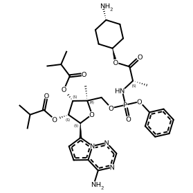 CC(C)C(=O)O[C@H]1[C@H](c2ccc3c(N)ncnn23)O[C@](C)(COP(=O)(N[C@@H](C)C(=O)O[C@H]2CC[C@H](N)CC2)Oc2ccccc2)[C@H]1OC(=O)C(C)C